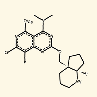 COc1nc(Cl)c(F)c2nc(OC[C@@]34CCCN[C@@H]3CCC4)nc(N(C)C)c12